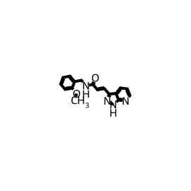 COc1ccccc1CNC(=O)C=Cc1n[nH]c2ncccc12